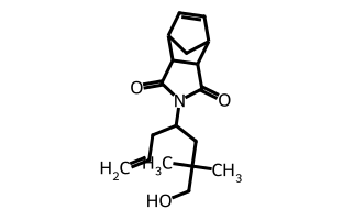 C=CCC(CC(C)(C)CO)N1C(=O)C2C3C=CC(C3)C2C1=O